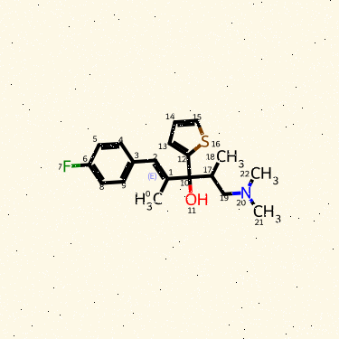 C/C(=C\c1ccc(F)cc1)C(O)(c1cccs1)C(C)CN(C)C